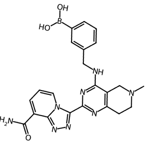 CN1CCc2nc(-c3nnc4c(C(N)=O)cccn34)nc(NCc3cccc(B(O)O)c3)c2C1